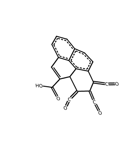 O=C=C1C(=C=O)c2ccc3cccc4c3c2C(C1=C=O)C(C(=O)O)=C4